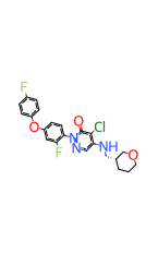 O=c1c(Cl)c(NC[C@H]2CCCOC2)cnn1-c1ccc(Oc2ccc(F)cc2)cc1F